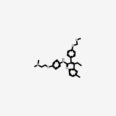 CC/C(=C(/C(=O)Nc1ccc(OCCN(C)C)cc1)c1ccc(OCOC)cc1)c1cccc(C)c1